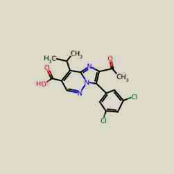 CC(=O)c1nc2c(C(C)C)c(C(=O)O)cnn2c1-c1cc(Cl)cc(Cl)c1